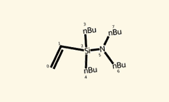 C=C[Si](CCCC)(CCCC)N(CCCC)CCCC